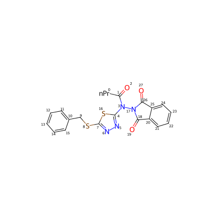 CCCC(=O)N(c1nnc(SCc2ccccc2)s1)N1C(=O)c2ccccc2C1=O